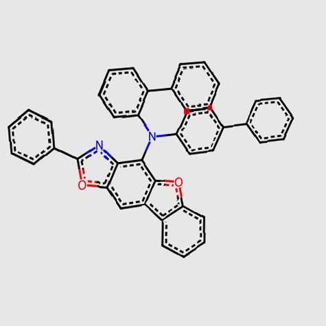 c1ccc(-c2ccc(N(c3ccccc3-c3ccccc3)c3c4nc(-c5ccccc5)oc4cc4c3oc3ccccc34)cc2)cc1